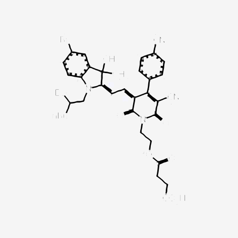 CCCCC(CC)CN1/C(=C/C=C2\C(=O)N(CCOC(=O)CCC(=O)O)C(=O)C(C#N)=C2c2ccc(C#N)cc2)C(C)(C)c2cc(Br)ccc21